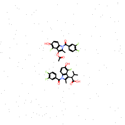 CC(=O)Oc1c(C)n(C(=O)c2ccc(F)c(F)c2)c2ccc(O)c(F)c12.Cc1c(C(C(=O)O)C(C)C)c2c(F)c(O)ccc2n1C(=O)c1ccc(F)c(F)c1